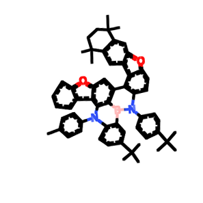 Cc1ccc(N2c3ccc(C(C)(C)C)cc3B3c4c(cc5oc6ccccc6c5c42)-c2c(ccc4oc5cc6c(cc5c24)C(C)(C)CCC6(C)C)N3c2ccc(C(C)(C)C)cc2)cc1